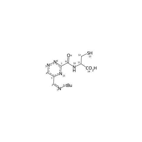 CC(C)(C)/N=C\c1cnnc(C(=O)NC(CS)C(=O)O)n1